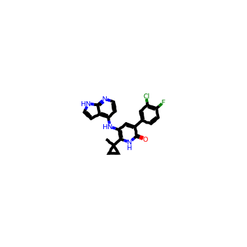 CC1(c2[nH]c(=O)c(-c3ccc(F)c(Cl)c3)cc2Nc2ccnc3[nH]ccc23)CC1